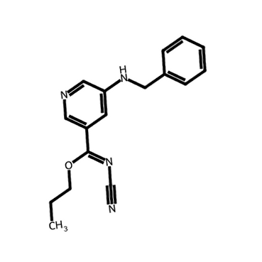 CCCO/C(=N\C#N)c1cncc(NCc2ccccc2)c1